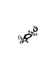 CCN1C(=O)C(C)c2cc3c(cc21)N(C)C(c1cccnc1)N3